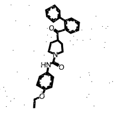 CCOc1ccc(NC(=O)N2CCC(C(=O)c3ccccc3-c3ccccc3)CC2)cc1